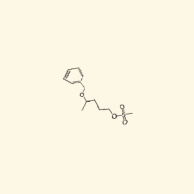 CC(CCCOS(C)(=O)=O)OCc1ccccc1